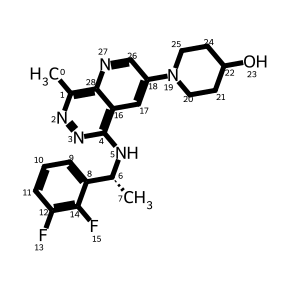 Cc1nnc(N[C@H](C)c2cccc(F)c2F)c2cc(N3CCC(O)CC3)cnc12